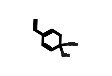 C=CC1=CCC(OC)(OC(C)=O)C=C1